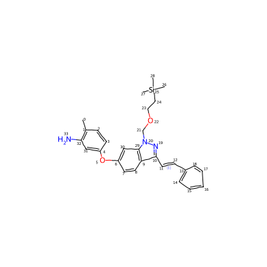 Cc1ccc(Oc2ccc3c(/C=C/c4ccccc4)nn(COCC[Si](C)(C)C)c3c2)cc1N